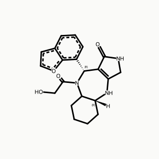 O=C1NCC2=C1[C@@H](c1cccc3ccoc13)N(C(=O)CO)C1CCCC[C@H]1N2